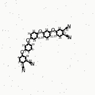 N#Cc1ccc(Oc2cccc(Oc3ccc(Oc4cccc(Oc5ccc(C#N)c(C#N)c5)c4)cc3)c2)cc1C#N